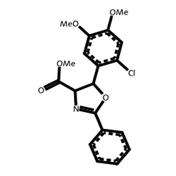 COC(=O)C1N=C(c2ccccc2)OC1c1cc(OC)c(OC)cc1Cl